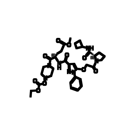 CCOC(=O)ON1CCN(C(=O)[C@H](CCC(=O)OC)NC(=O)c2cc(OCC(=O)N3CCC[C@H]3C(=O)NC3CCC3)n(-c3ccccc3)n2)CC1